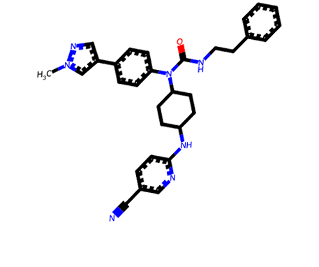 Cn1cc(-c2ccc(N(C(=O)NCCc3ccccc3)C3CCC(Nc4ccc(C#N)cn4)CC3)cc2)cn1